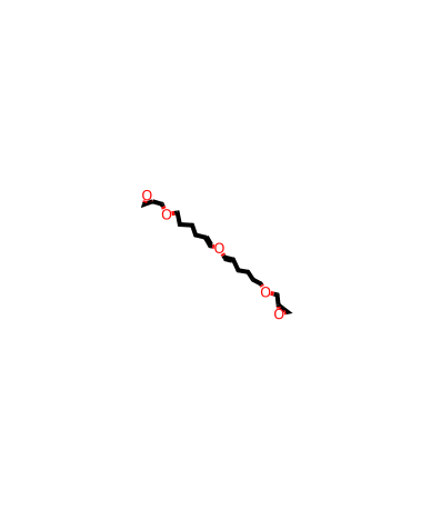 C(=COC=CCCCCOCC1CO1)CCCCOCC1CO1